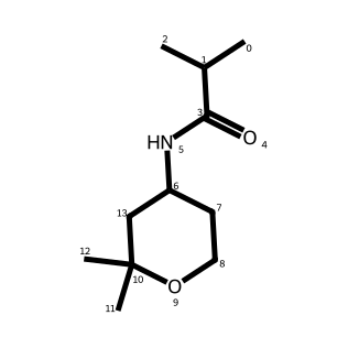 CC(C)C(=O)NC1CCOC(C)(C)C1